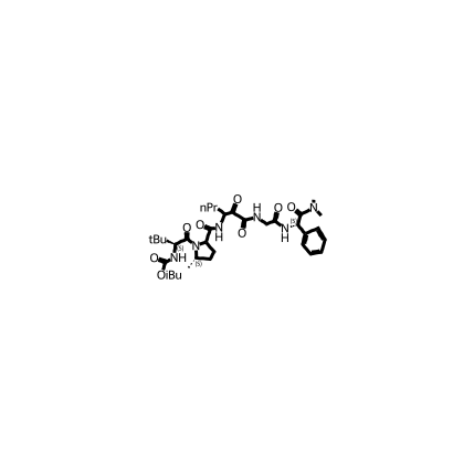 CCCC(NC(=O)C1CC[C@H](C)N1C(=O)[C@@H](NC(=O)OCC(C)C)C(C)(C)C)C(=O)C(=O)NCC(=O)N[C@H](C(=O)N(C)C)c1ccccc1